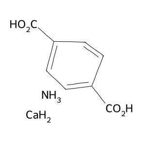 N.O=C(O)c1ccc(C(=O)O)cc1.[CaH2]